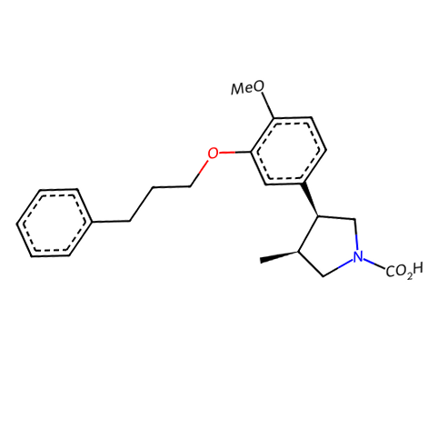 COc1ccc([C@H]2CN(C(=O)O)C[C@H]2C)cc1OCCCc1ccccc1